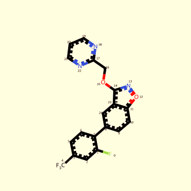 Fc1cc(C(F)(F)F)ccc1-c1ccc2onc(OCc3ncccn3)c2c1